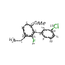 BCc1ccc(OC)c(-c2cccc(Cl)c2)c1F